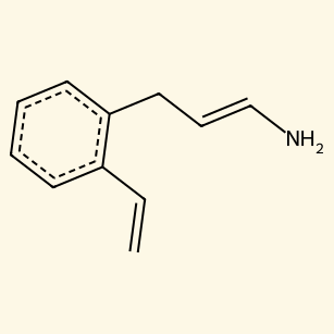 C=Cc1ccccc1CC=CN